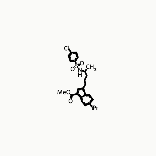 COC(=O)c1cc(CCCC(C)NS(=O)(=O)c2ccc(Cl)cc2)c2ccc(C(C)C)ccc1-2